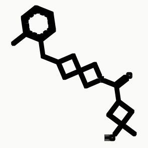 Cc1ccccc1CC1CC2(C1)CN(C(=O)C1CC(C)(O)C1)C2